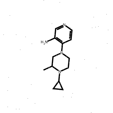 CC1CN(c2ccncc2N)CCN1C1CC1